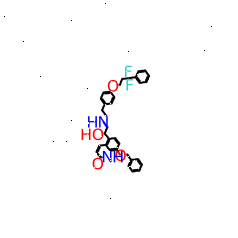 O=c1ccc2c(C(O)CNCCc3ccc(OCCC(F)(F)c4ccccc4)cc3)ccc(OCc3ccccc3)c2[nH]1